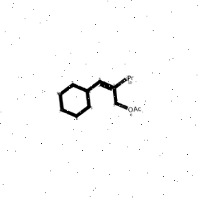 CC(=O)OCC(=CC1CCCCC1)C(C)C